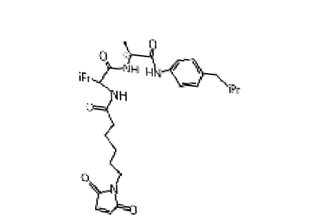 CC(C)Cc1ccc(NC(=O)[C@H](C)NC(=O)C(NC(=O)CCCCCN2C(=O)C=CC2=O)C(C)C)cc1